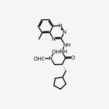 Cc1cccc2nnc(NNC(=O)[C@H](CC3CCCC3)CN(O)C=O)nc12